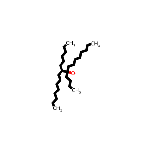 CCCCCCCCC(CCCCCC)C([O])(CCCC)CCCCCCCC